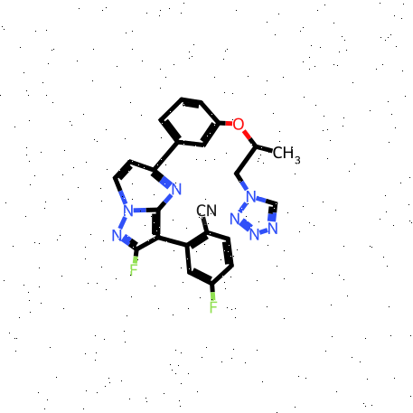 CC(Cn1cnnn1)Oc1cccc(-c2ccn3nc(F)c(-c4cc(F)ccc4C#N)c3n2)c1